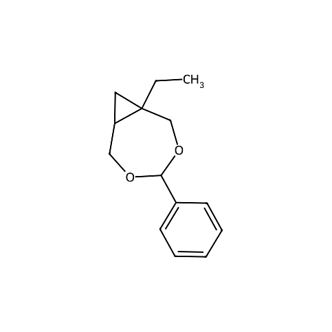 CCC12COC(c3ccccc3)OCC1C2